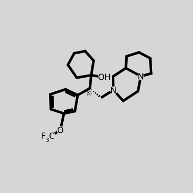 OC1([C@H](CN2CCN3CCCCC3C2)c2cccc(OC(F)(F)F)c2)CCCCC1